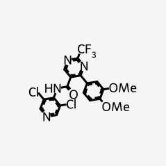 COc1ccc(-c2nc(C(F)(F)F)ncc2C(=O)Nc2c(Cl)cncc2Cl)cc1OC